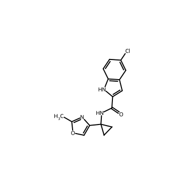 Cc1nc(C2(NC(=O)c3cc4cc(Cl)ccc4[nH]3)CC2)co1